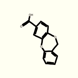 O=C(O)c1ccc2c(c1)Oc1ccccc1CO2